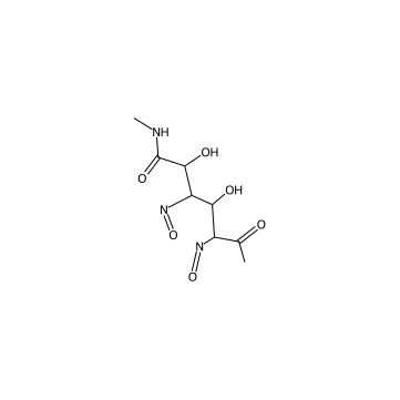 CNC(=O)C(O)C(N=O)C(O)C(N=O)C(C)=O